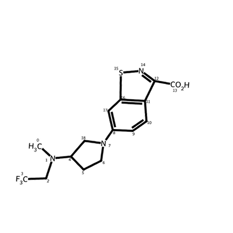 CN(CC(F)(F)F)C1CCN(c2ccc3c(C(=O)O)nsc3c2)C1